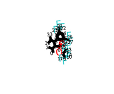 CC(C)C(C(=O)OC(C(F)(F)F)C(F)(F)F)C(c1cc(C(F)(F)F)cc(C(F)(F)F)c1)C(C)C